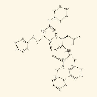 CC(C)C[C@H](NC(=O)[C@H](CCc1ccccc1)NC(=O)CN1CCOCC1)C(=O)N[C@H](Cc1ccccc1)C(=O)OCc1ccccc1